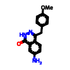 COc1ccc(Cc2n[nH]c(=O)c3cc(N)ccc23)cc1